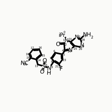 CC(C)n1c(=O)c(-c2ccc(NS(=O)(=O)Cc3ccccc3C#N)c(F)c2)nc2cnc(N)nc21